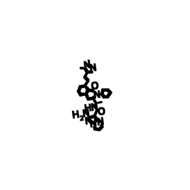 Cc1c(/C=C/c2cccc3cc([C@@H](C)NC(=O)c4c(N)nn5cccnc45)n(-c4ccccc4)c(=O)c23)cnn1C